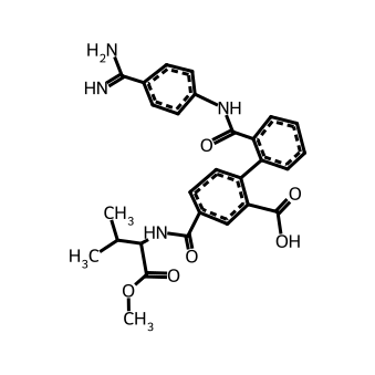 COC(=O)C(NC(=O)c1ccc(-c2ccccc2C(=O)Nc2ccc(C(=N)N)cc2)c(C(=O)O)c1)C(C)C